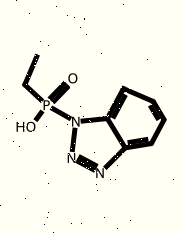 CCP(=O)(O)n1nnc2ccccc21